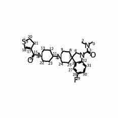 CN(C)C(=O)N1CC2(CCN(C3CCN(C(=O)C4=CSCC4)CC3)CC2)c2cc(F)ccc21